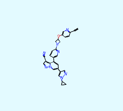 C#Cc1ccc(OC2CN(c3ccc(-c4cc(-c5cnn(C6CC6)c5)cn5ncc(C#N)c45)cn3)C2)cn1